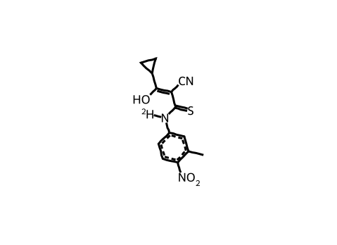 [2H]N(C(=S)C(C#N)=C(O)C1CC1)c1ccc([N+](=O)[O-])c(C)c1